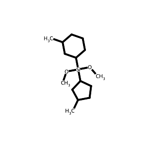 CO[Si](OC)(C1CCCC(C)C1)C1CCC(C)C1